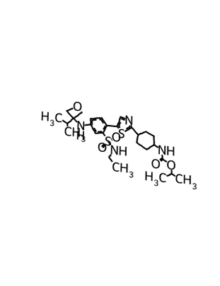 CCNS(=O)(=O)c1cc(NC2(C(C)C)COC2)ccc1-c1cnc(C2CCC(NC(=O)OC(C)C)CC2)s1